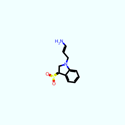 NC=CCN1CC(=S(=O)=O)c2ccccc21